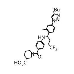 Cc1cc(-n2cc(C(C)(C)C)nn2)ccc1C(CCC(F)(F)F)Nc1ccc(C(=O)N2CCC[C@@H](C(=O)O)C2)cc1